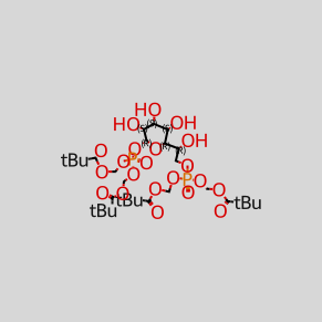 CC(C)(C)C(=O)OCOP(=O)(OCOC(=O)C(C)(C)C)OC[C@@H](O)[C@H]1O[C@H](OP(=O)(OCOC(=O)C(C)(C)C)OCOC(=O)C(C)(C)C)[C@@H](O)[C@@H](O)[C@@H]1O